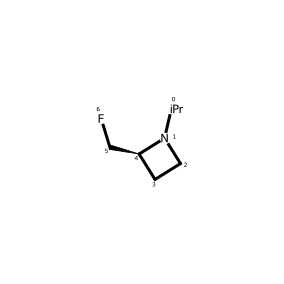 CC(C)N1CC[C@H]1CF